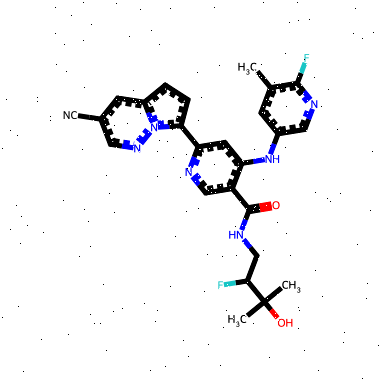 Cc1cc(Nc2cc(-c3ccc4cc(C#N)cnn34)ncc2C(=O)NCC(F)C(C)(C)O)cnc1F